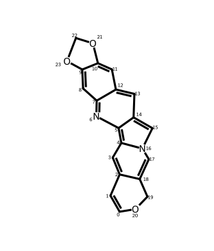 C1=Cc2cc3c4nc5cc6c(cc5cc4cn3cc2CO1)OCO6